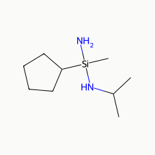 CC(C)N[Si](C)(N)C1CCCC1